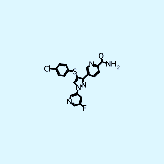 NC(=O)c1ccc(-c2nn(-c3cncc(F)c3)cc2Sc2ccc(Cl)cc2)cn1